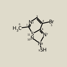 CC1=NC=C(Br)C2=NN(S)N=S12